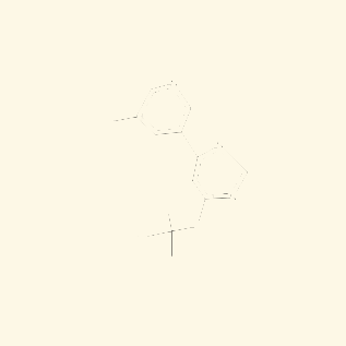 [2H]C([2H])([2H])Oc1cc(-c2cncc(O)c2)ncn1